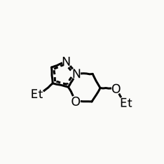 CCOC1COc2c(CC)cnn2C1